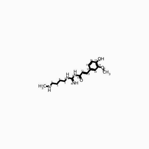 CNCCCCNC(=N)NC(=O)/C=C/c1ccc(O)c(OC)c1